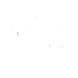 CCOC(=O)[C@@H]1C[C@H]1c1ccc2ccn(CC3(C)COC3)c2c1